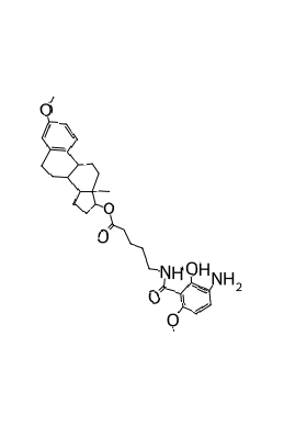 COc1ccc2c(c1)CCC1C2CCC2(C)C(OC(=O)CCCCNC(=O)c3c(OC)ccc(N)c3O)CCC12